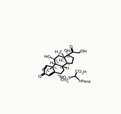 CCCCCC(C(=O)O)S(=O)(=O)O.C[C@H]1C[C@@H]2[C@H]([C@@H](O)C[C@@]3(C)[C@H]2CC[C@]3(O)C(=O)CO)[C@@]2(C)C=CC(=O)C=C12